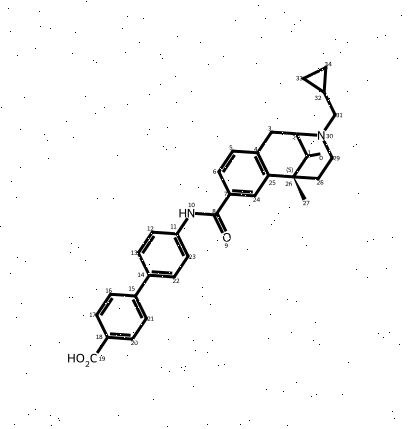 CC1C2Cc3ccc(C(=O)Nc4ccc(-c5ccc(C(=O)O)cc5)cc4)cc3[C@@]1(C)CCN2CC1CC1